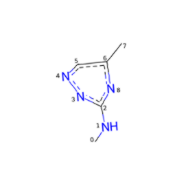 CNc1nncc(C)n1